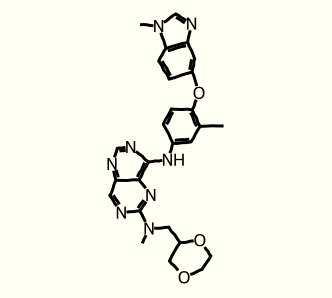 Cc1cc(Nc2ncnc3cnc(N(C)CC4COCCO4)nc23)ccc1Oc1ccc2c(c1)ncn2C